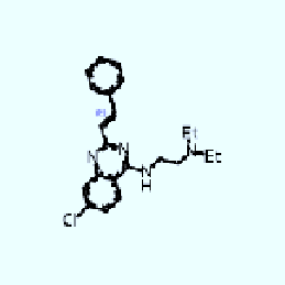 CCN(CC)CCNc1nc(/C=C/c2ccccc2)nc2cc(Cl)ccc12